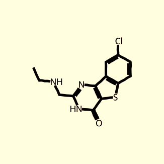 CCNCc1nc2c(sc3ccc(Cl)cc32)c(=O)[nH]1